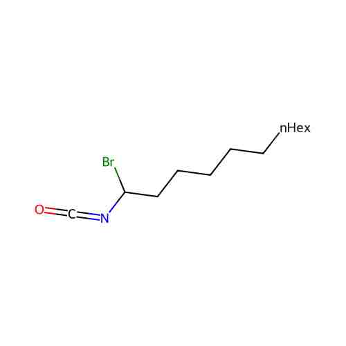 CCCCCCCCCCCC(Br)N=C=O